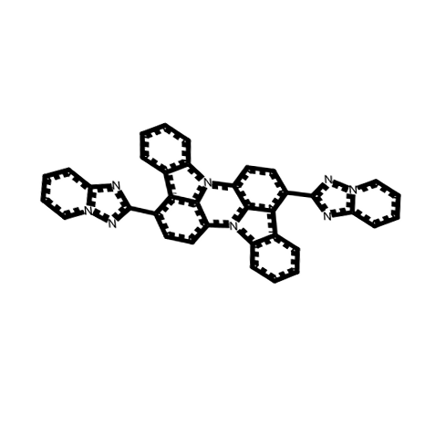 c1ccc2c(c1)c1c(-c3nc4ccccn4n3)ccc3c1n2c1ccc(-c2nc4ccccn4n2)c2c4ccccc4n3c21